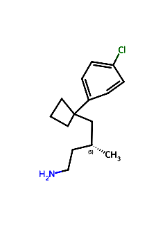 C[C@H](CCN)CC1(c2ccc(Cl)cc2)CCC1